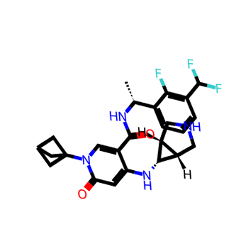 C[C@@H](NC(=O)c1cn(C23CC(C2)C3)c(=O)cc1N[C@@H]1[C@@H]2CNC[C@@H]21)c1cccc(C(F)F)c1F